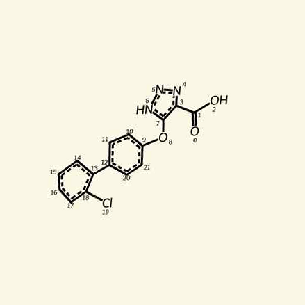 O=C(O)c1nn[nH]c1Oc1ccc(-c2ccccc2Cl)cc1